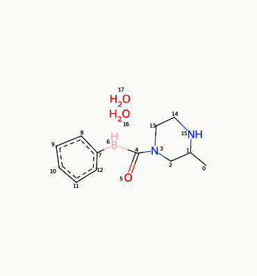 CC1CN(C(=O)Bc2ccccc2)CCN1.O.O